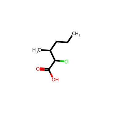 CCCC(C)C(Cl)C(=O)O